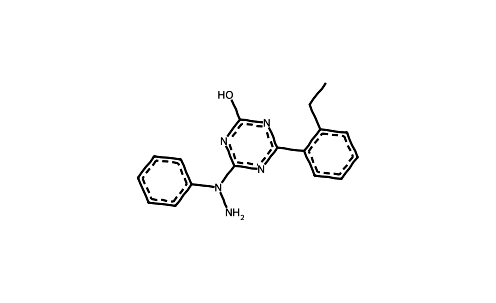 CCc1ccccc1-c1nc(O)nc(N(N)c2ccccc2)n1